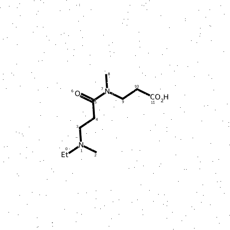 CCN(C)CCC(=O)N(C)CCC(=O)O